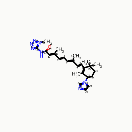 CC1=C(/C=C/C(C)=C/C=C/C(C)=C/C(=O)Nc2nnnn2C)C(C)(C)CCC1n1ccnc1